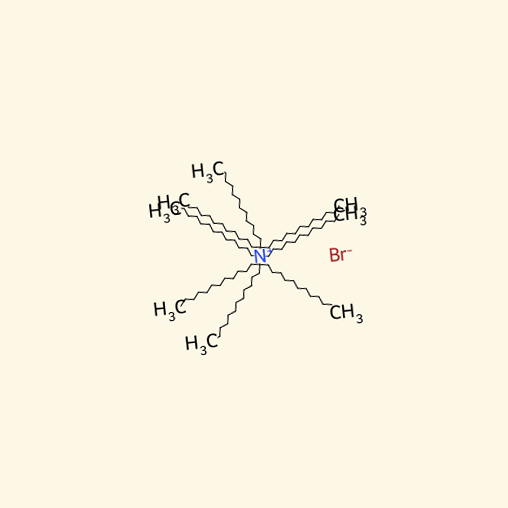 CCCCCCCCCCCCC[N+](CCCCCCCCCCCC)(C(CCCCCCCCCCCC)(CCCCCCCCCCCC)CCCCCCCCCCCC)C(CCCCCCCCCCCC)(CCCCCCCCCCCC)CCCCCCCCCCCC.[Br-]